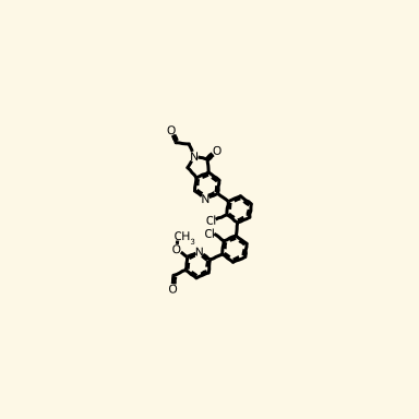 COc1nc(-c2cccc(-c3cccc(-c4cc5c(cn4)CN(CC=O)C5=O)c3Cl)c2Cl)ccc1C=O